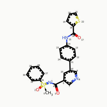 C[S@](=O)(=NC(=O)c1cncc(-c2ccc(NC(=O)c3cccs3)cc2)c1)c1ccccc1